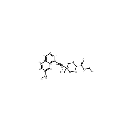 CCOC(=O)[C@H]1CC[C@@](O)(C#Cc2cccc3ncc(OC)cc23)CC1